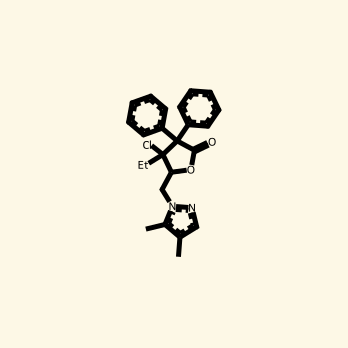 CCC1(Cl)C(Cn2ncc(C)c2C)OC(=O)C1(c1ccccc1)c1ccccc1